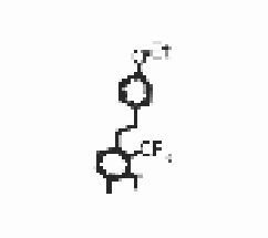 CCOc1ccc(CCc2ccc(C)c(F)c2C(F)(F)F)cc1